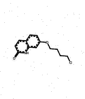 O=c1ccc2ccc(OCCCCCl)cc2[nH]1